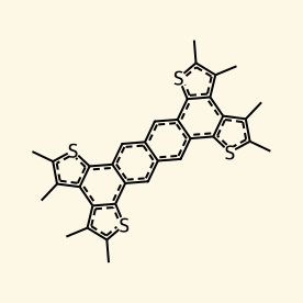 Cc1sc2c3cc4cc5c(cc4cc3c3sc(C)c(C)c3c2c1C)c1sc(C)c(C)c1c1c(C)c(C)sc51